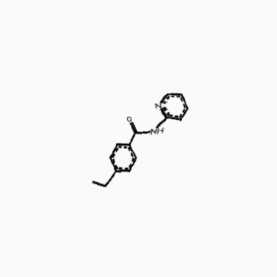 CCc1ccc(C(=O)Nc2ccccn2)cc1